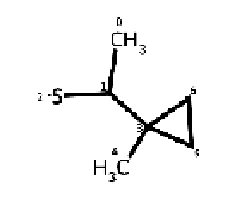 CC([S])C1(C)CC1